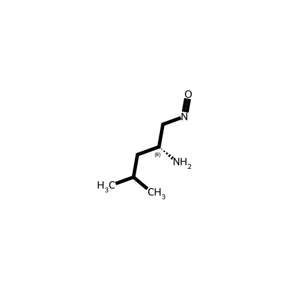 CC(C)C[C@@H](N)CN=O